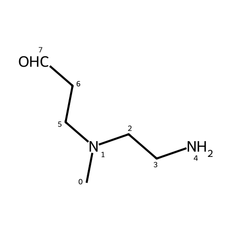 CN(CCN)CCC=O